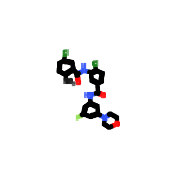 O=C(Nc1cc(F)cc(N2CCOCC2)c1)c1ccc(Cl)c(NC(=O)c2cc(Cl)ccc2[N+](=O)[O-])c1